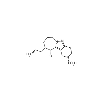 C=CCC1CCCn2nc3c(c2C1=O)CN(C(=O)O)CC3